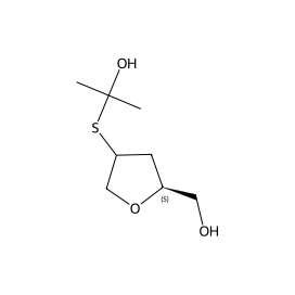 CC(C)(O)SC1CO[C@H](CO)C1